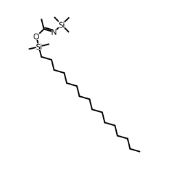 CCCCCCCCCCCCCCCC[Si](C)(C)OC(C)=N[Si](C)(C)C